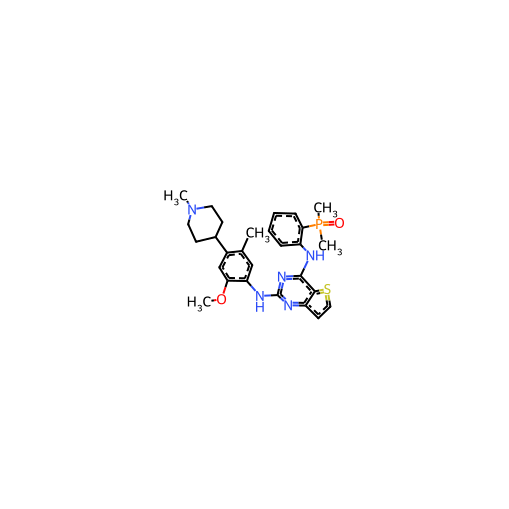 COc1cc(C2CCN(C)CC2)c(C)cc1Nc1nc(Nc2ccccc2P(C)(C)=O)c2sccc2n1